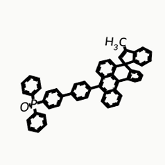 CC1=CC2(c3ccccc31)c1ccccc1-c1c3ccccc3c(-c3ccc(-c4ccc(P(=O)(c5ccccc5)c5ccccc5)cc4)cc3)c3cccc2c13